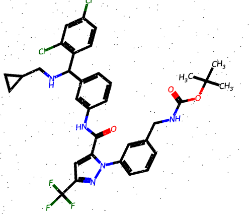 CC(C)(C)OC(=O)NCc1cccc(-n2nc(C(F)(F)F)cc2C(=O)Nc2cccc(C(NCC3CC3)c3ccc(Cl)cc3Cl)c2)c1